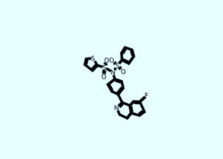 O=S(=O)(c1ccccc1)N(c1ccc(C2=NCCc3ccc(F)cc32)cc1)S(=O)(=O)c1cccs1